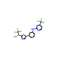 OC(c1ncc(-c2cccc(Nc3nccc(C(F)(F)F)n3)c2)s1)C(F)(F)F